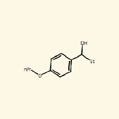 CCCOc1ccc(C(O)CC)cc1